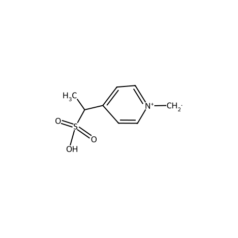 [CH2][n+]1ccc(C(C)S(=O)(=O)O)cc1